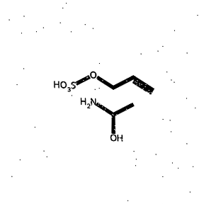 C=CCOS(=O)(=O)O.CC(N)O